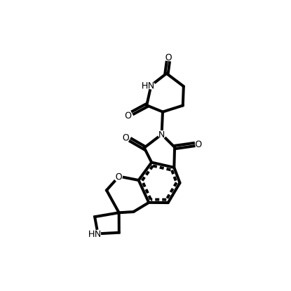 O=C1CCC(N2C(=O)c3ccc4c(c3C2=O)OCC2(CNC2)C4)C(=O)N1